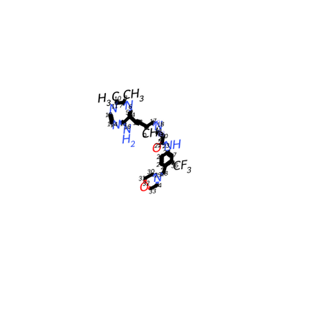 C=C(C#Cc1cnc(C)c(C)nccnc1N)/C=N\C=C\C(=O)Nc1ccc(CN2CCOCC2)c(C(F)(F)F)c1